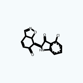 O=C1C=CC2C=NOC2C1=C1Nc2cccc(Cl)c2C1=O